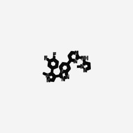 Cn1nccc1Nc1nccc(-c2ccn3c(-c4cnn(C)c4-c4ccc(F)c(F)c4)nnc3c2)n1